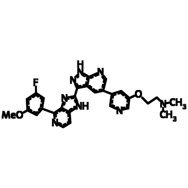 COc1cc(F)cc(-c2nccc3[nH]c(-c4n[nH]c5ncc(-c6cncc(OCCN(C)C)c6)cc45)nc23)c1